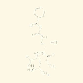 COC(=O)[C@@H](CCNC(=O)OC(=O)c1ccccc1)N[C@@H](CC(C)C)C(=O)O.Cl